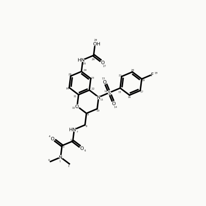 CN(C)C(=O)C(=O)NCC1CN(S(=O)(=O)c2ccc(F)cc2)c2cc(NC(=O)O)ccc2O1